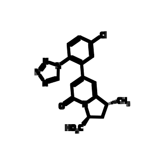 C[C@@H]1C[C@@H](C(=O)O)n2c1cc(-c1cc(Cl)ccc1-n1cnnn1)cc2=O